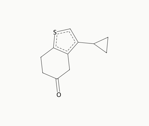 O=C1CCc2scc(C3CC3)c2C1